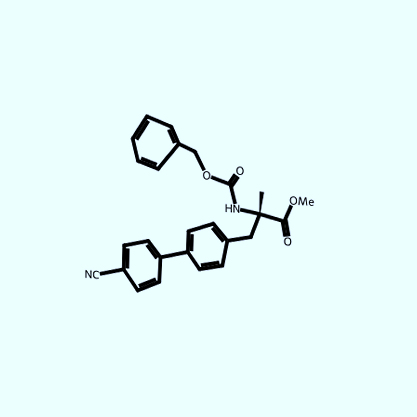 COC(=O)[C@](C)(Cc1ccc(-c2ccc(C#N)cc2)cc1)NC(=O)OCc1ccccc1